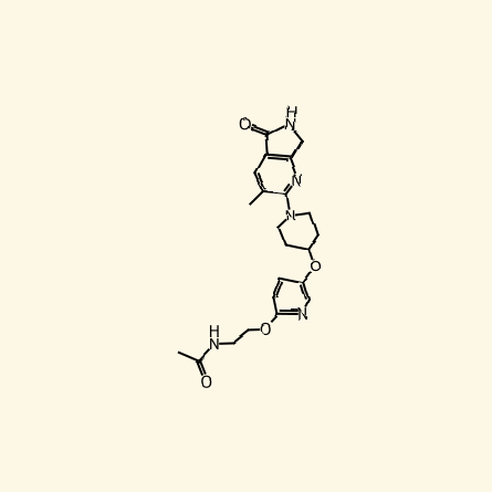 CC(=O)NCCOc1ccc(OC2CCN(c3nc4c(cc3C)C(=O)NC4)CC2)cn1